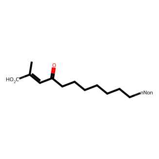 CCCCCCCCCCCCCCCCC(=O)C=C(C)C(=O)O